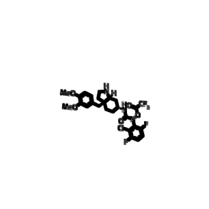 COc1ccc(C[C@@]23CCN[C@H]2C[C@H](NC(=O)N(OC(=O)C(F)(F)F)c2c(F)ccc(F)c2Cl)CC3)cc1OC